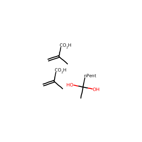 C=C(C)C(=O)O.C=C(C)C(=O)O.CCCCCC(C)(O)O